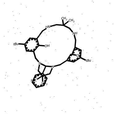 CC1(C)CNCc2cc(C(C)(C)C)cc(c2O)CN2CC(C)(C)CN(Cc3cc(C(C)(C)C)cc(c3O)CNC1)C2c1ccccc1